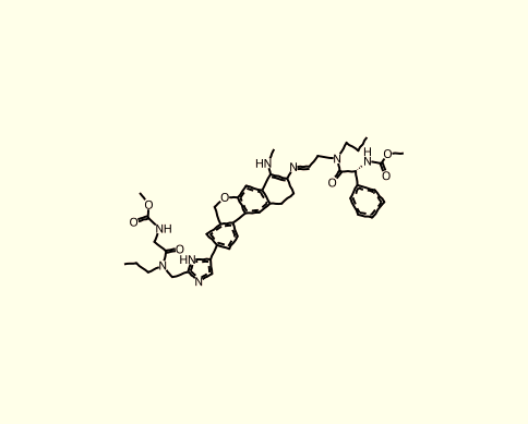 CCCN(Cc1ncc(-c2ccc3c(c2)COc2cc4c(cc2-3)CCC(/N=C/CN(CCC)C(=O)[C@H](NC(=O)OC)c2ccccc2)=C4NC)[nH]1)C(=O)CNC(=O)OC